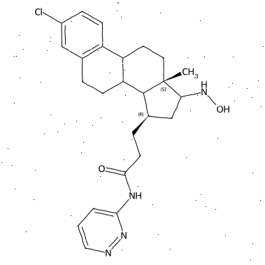 C[C@]12CCC3c4ccc(Cl)cc4CCC3C1[C@H](CCC(=O)Nc1cccnn1)CC2NO